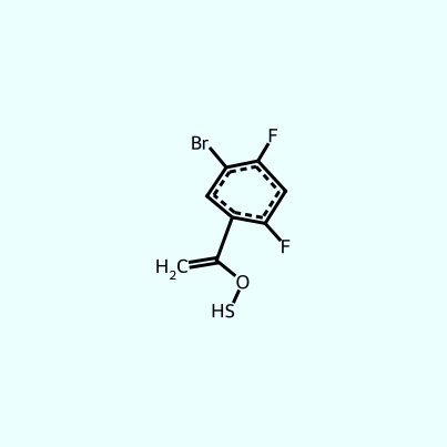 C=C(OS)c1cc(Br)c(F)cc1F